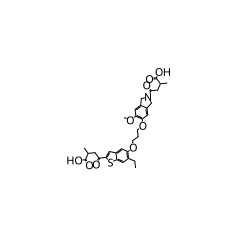 CCc1cc2sc(C(=O)CC(C)C(=O)O)cc2cc1OCCCOc1cc2c(cc1OC)CN(C(=O)CC(C)C(=O)O)C2